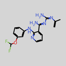 C=C(C)/N=C(N)\N=C(/N)c1cccnc1Nc1cccc(OC(F)F)c1